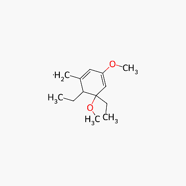 [CH2]C1=CC(OC)=CC(CC)(OC)C1CC